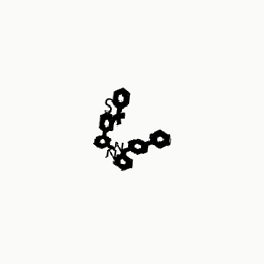 CC1(C)c2ccccc2Sc2ccc(-c3cccc(-c4nc(-c5ccc(-c6ccccc6)cc5)c5ccccc5n4)c3)cc21